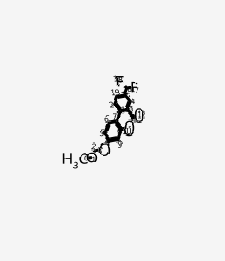 COCOc1ccc2c(c1)oc(=O)c1cc(C(F)F)ccc12